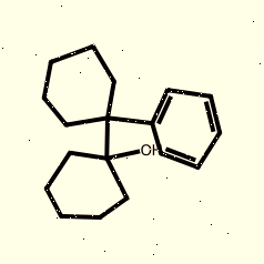 OC1(C2(c3ccccc3)CCCCC2)CCCCC1